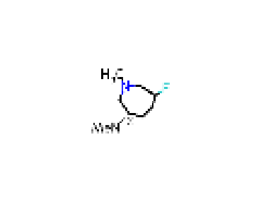 CN[C@H]1CCC(F)CN(C)C1